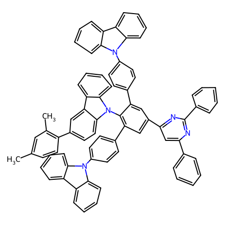 Cc1ccc(-c2ccc3c(c2)c2ccccc2n3-c2c(-c3ccc(-n4c5ccccc5c5ccccc54)cc3)cc(-c3cc(-c4ccccc4)nc(-c4ccccc4)n3)cc2-c2ccc(-n3c4ccccc4c4ccccc43)cc2)c(C)c1